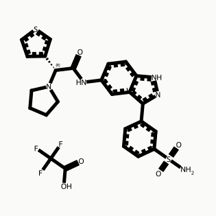 NS(=O)(=O)c1cccc(-c2n[nH]c3ccc(NC(=O)[C@@H](c4ccsc4)N4CCCC4)cc23)c1.O=C(O)C(F)(F)F